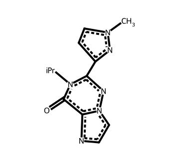 CC(C)n1c(-c2ccn(C)n2)nn2ccnc2c1=O